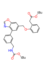 CC(C)(C)OC(=O)Cc1ccccc1OCc1cc(-c2cccc(CNC(=O)OC(C)(C)C)c2)c2ncoc2c1